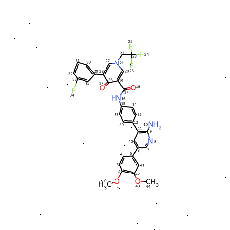 COc1ccc(-c2cnc(N)c(-c3ccc(NC(=O)c4cn(CC(F)(F)F)cc(-c5cccc(F)c5)c4=O)cc3)c2)cc1OC